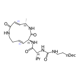 CCCCCCCCCCCCNC(=O)N[C@@H](C(=O)N[C@H]1/C=C/CCNC(=O)/C=C/[C@H](C)NC1=O)C(C)C